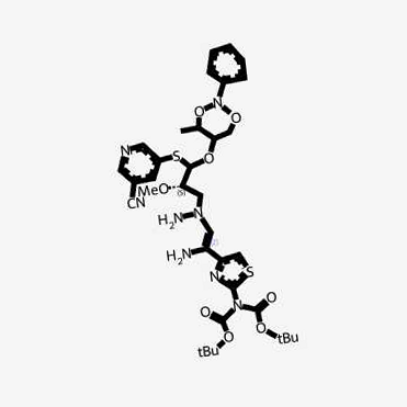 CO[C@@H](CN(N)/C=C(\N)c1csc(N(C(=O)OC(C)(C)C)C(=O)OC(C)(C)C)n1)C(OC1CON(c2ccccc2)OC1C)Sc1cncc(C#N)c1